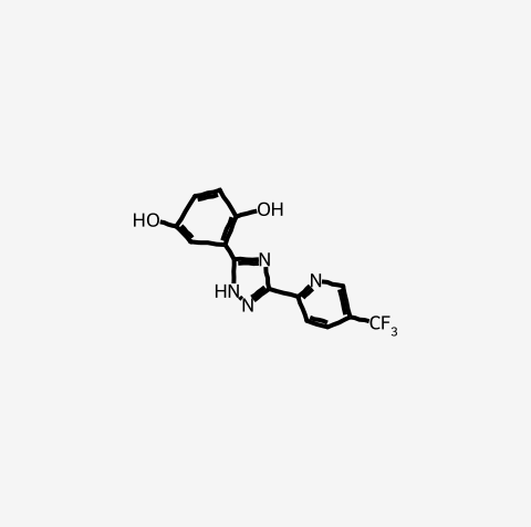 Oc1ccc(O)c(-c2nc(-c3ccc(C(F)(F)F)cn3)n[nH]2)c1